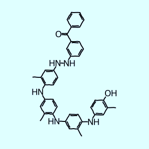 Cc1cc(Nc2ccc(Nc3ccc(Nc4ccc(NNc5cccc(C(=O)c6ccccc6)c5)cc4C)cc3C)cc2C)ccc1O